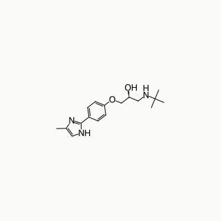 Cc1c[nH]c(-c2ccc(OC[C@@H](O)CNC(C)(C)C)cc2)n1